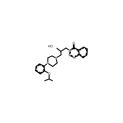 CC(CN1CCN(c2ccccc2OC(C)C)CC1)Cn1nnc2ccccc2c1=O.Cl